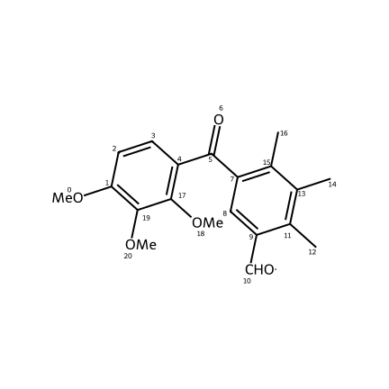 COc1ccc(C(=O)c2cc([C]=O)c(C)c(C)c2C)c(OC)c1OC